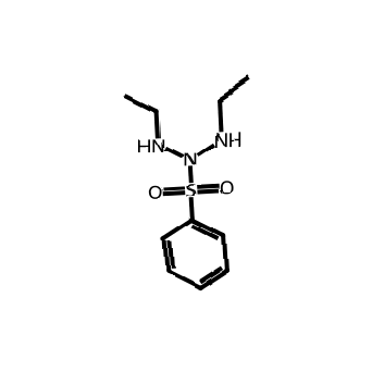 CCNN(NCC)S(=O)(=O)c1ccccc1